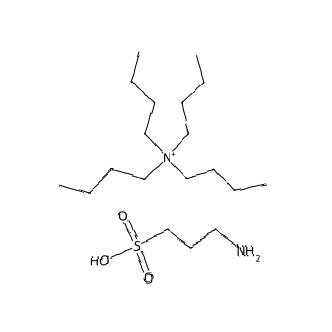 CCCC[N+](CCCC)(CCCC)CCCC.NCCCS(=O)(=O)O